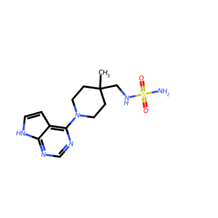 CC1(CNS(N)(=O)=O)CCN(c2ncnc3[nH]ccc23)CC1